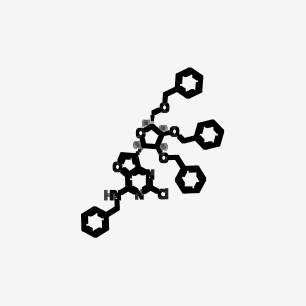 Clc1nc(NCc2ccccc2)c2occ([C@@H]3O[C@H](COCc4ccccc4)[C@@H](OCc4ccccc4)[C@H]3OCc3ccccc3)c2n1